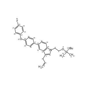 C=CCc1cn(CCO[Si](C)(C)C(C)(C)C)c2ccc(-c3ccc(Oc4ccc(F)cc4)cc3)cc12